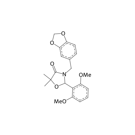 COc1cccc(OC)c1C1OC(C)(C)C(=O)N1Cc1ccc2c(c1)OCO2